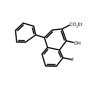 CCOC(=O)c1cc(-c2ccccc2)c2cccc(F)c2c1O